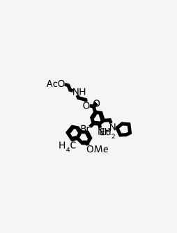 C.CCN(Cc1cc(C(=O)OCCNCCOC(C)=O)cc(Br)c1N)C1CCCCC1.COc1ccc2ccccc2c1